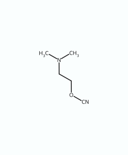 CN(C)CCOC#N